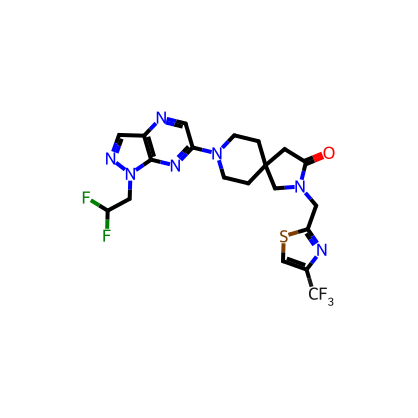 O=C1CC2(CCN(c3cnc4cnn(CC(F)F)c4n3)CC2)CN1Cc1nc(C(F)(F)F)cs1